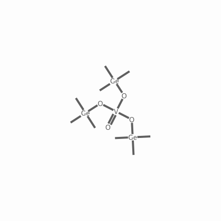 [CH3][Ge]([CH3])([CH3])[O][V](=[O])([O][Ge]([CH3])([CH3])[CH3])[O][Ge]([CH3])([CH3])[CH3]